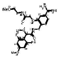 CCOC(C(=O)NCc1ccc(C(=N)N)cc1OCC(=O)NCCOC)c1c(F)cc(OC)cc1F